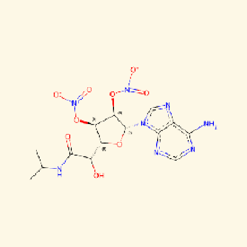 CC(C)NC(=O)C(O)[C@H]1O[C@@H](n2cnc3c(N)ncnc32)[C@H](O[N+](=O)[O-])[C@@H]1O[N+](=O)[O-]